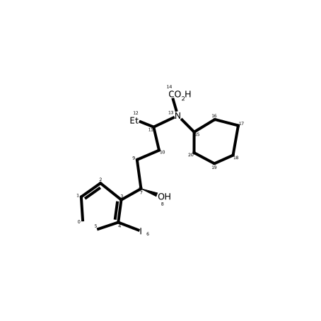 C/C=C\C(=C(/C)I)[C@H](O)CCC(CC)N(C(=O)O)C1CCCCC1